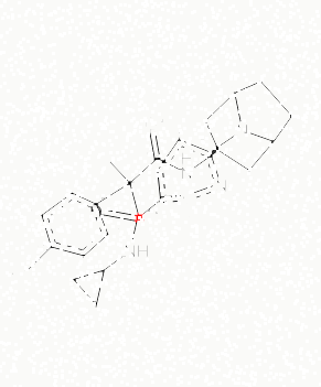 CC(C)(C(=O)NC1CC2CCC(C1)N2c1ccc(C(=O)NC2CC2)cn1)c1ccc(Cl)cc1